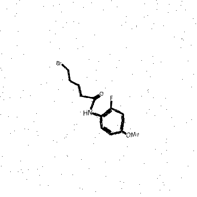 COc1ccc(NC(=O)CCCCBr)c(F)c1